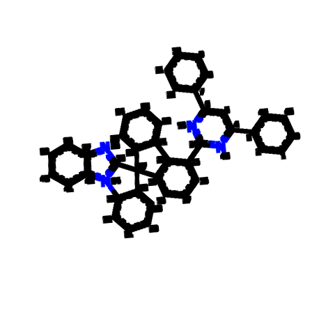 c1ccc(-c2cc(-c3ccccc3)nc(-c3cccc4c3-c3ccccc3C43c4ccccc4-n4c3nc3ccccc34)n2)cc1